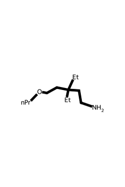 CCCOCCC(CC)(CC)CCN